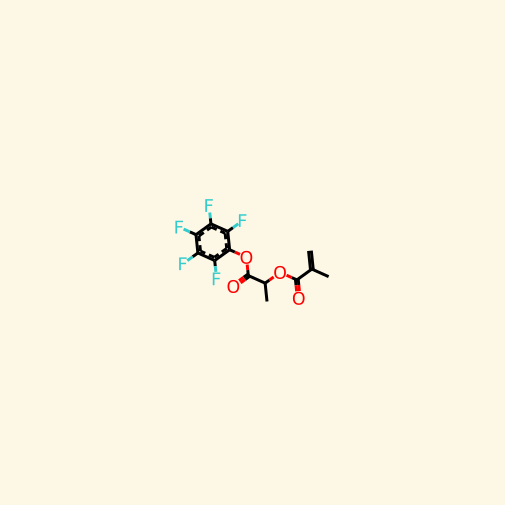 C=C(C)C(=O)OC(C)C(=O)Oc1c(F)c(F)c(F)c(F)c1F